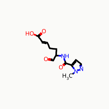 Cn1nccc1C(=O)NC(C=O)CCC=CC(=O)O